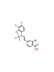 O=C(O)c1ccc(/C=C/C(c2ccc(F)c(F)c2F)C(F)(F)F)cc1Br